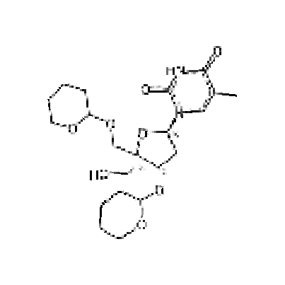 Cc1cn([C@H]2C[C@H](OC3CCCCO3)[C@@](CO)(COC3CCCCO3)O2)c(=O)[nH]c1=O